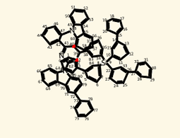 c1ccc(-c2cccc([Si](c3cccc(-c4ccccc4)c3)(c3cccc(-c4ccccc4)c3)c3cccc(C4CC(c5ccccc5-n5c6ccccc6c6ccccc65)=NC(n5c6ccccc6c6cc(-c7ccccc7)ccc65)=N4)c3)c2)cc1